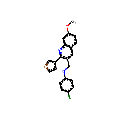 COc1ccc2cc(CNc3ccc(Cl)cc3)c(-c3ccsc3)nc2c1